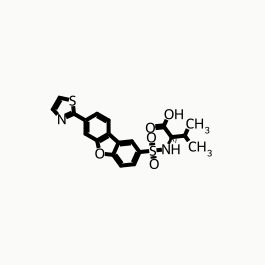 CC(C)[C@@H](NS(=O)(=O)c1ccc2oc3cc(-c4nccs4)ccc3c2c1)C(=O)O